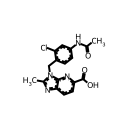 CC(=O)Nc1ccc(Cn2c(C)nc3ccc(C(=O)O)nc32)c(Cl)c1